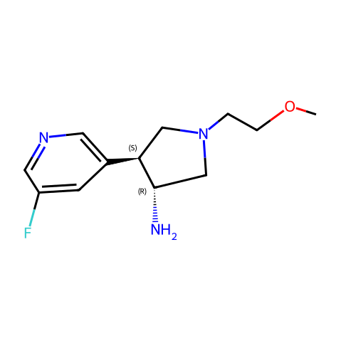 COCCN1C[C@H](c2cncc(F)c2)[C@@H](N)C1